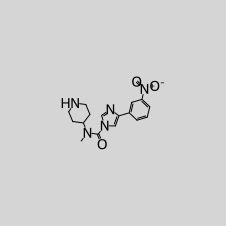 CN(C(=O)n1cnc(-c2cccc([N+](=O)[O-])c2)c1)C1CCNCC1